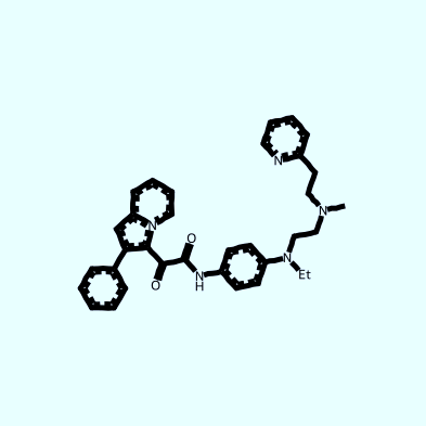 CCN(CCN(C)CCc1ccccn1)c1ccc(NC(=O)C(=O)c2c(-c3ccccc3)cc3ccccn23)cc1